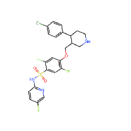 O=S(=O)(Nc1ccc(F)cn1)c1cc(F)c(OCC2CNCCC2c2ccc(Cl)cc2)cc1F